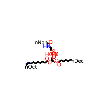 CCCCCCCC/C=C\CCCCCCCC(=O)O[C@H](COC(=O)CCCCCCCCCCCCCCC)COP(=O)(O)OCCNC(=O)CCCCCCCCC